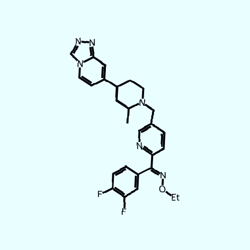 CCON=C(c1ccc(F)c(F)c1)c1ccc(CN2CCC(c3ccn4cnnc4c3)CC2C)cn1